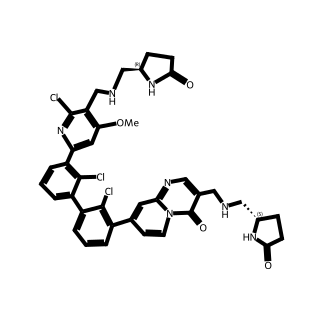 COc1cc(-c2cccc(-c3cccc(-c4ccn5c(=O)c(CNC[C@@H]6CCC(=O)N6)cnc5c4)c3Cl)c2Cl)nc(Cl)c1CNC[C@H]1CCC(=O)N1